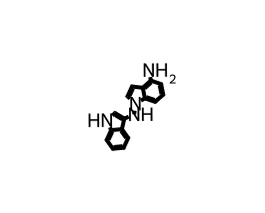 Nc1cccc2c1ccn2Nc1c[nH]c2ccccc12